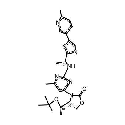 Cc1ccc(-c2cnc([C@H](C)Nc3nc(C)cc(N4C(=O)OC[C@@H]4[C@@H](C)OC(C)(C)C)n3)s2)cn1